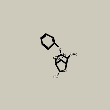 CC(=O)OC1C2O[C@H](O)C(O[C@H]1Sc1ccccc1)[C@H]2OC(C)=O